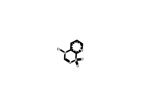 CCN1C=NS(=O)(=O)c2ncccc21